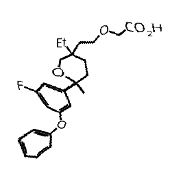 CCC1(CCOCC(=O)O)CCC(C)(c2cc(F)cc(Oc3ccccc3)c2)OC1